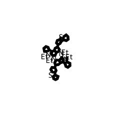 CCn1c2cc(-c3ccc4sc5ccccc5c4c3)cc3c2cc(c2c3c3ccccc3n2CC)n(CC)c2cc(-c3ccc4sc5ccccc5c4c3)cc3c2cc1c1c3c2ccccc2n1CC